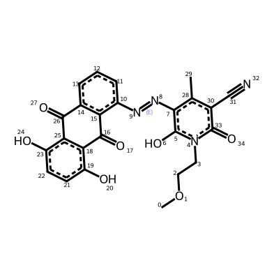 COCCn1c(O)c(/N=N/c2cccc3c2C(=O)c2c(O)ccc(O)c2C3=O)c(C)c(C#N)c1=O